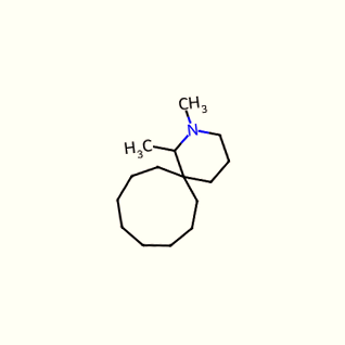 CC1N(C)CCCC12CCCCCCCC2